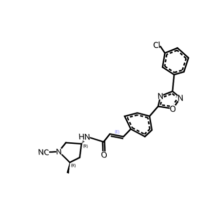 C[C@@H]1C[C@@H](NC(=O)/C=C/c2ccc(-c3nc(-c4cccc(Cl)c4)no3)cc2)CN1C#N